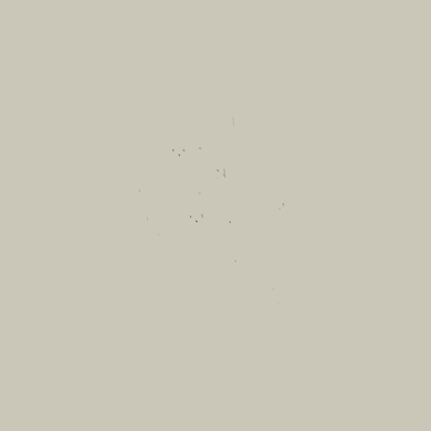 Sc1nc2ccc(Cl)nc2n1Cc1ccc(Cl)cc1